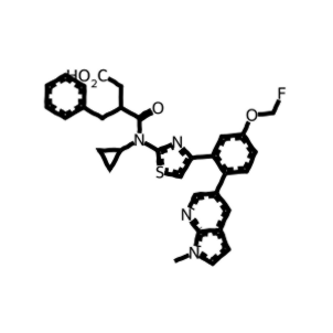 Cn1ccc2cc(-c3ccc(OCF)cc3-c3csc(N(C(=O)C(CC(=O)O)Cc4ccccc4)C4CC4)n3)cnc21